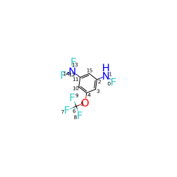 FNc1cc(OC(F)(F)F)cc(N(F)F)c1